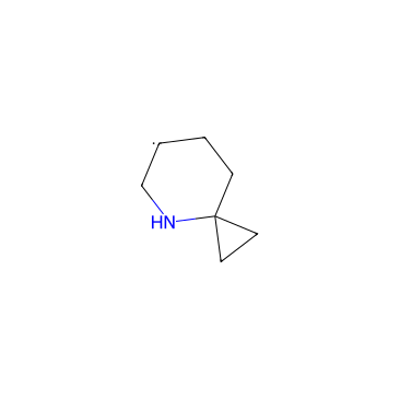 [CH]1CCC2(CC2)NC1